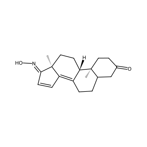 C[C@]12CC[C@H]3C(=C1C=CC2=NO)CCC1CC(=O)CC[C@@]13C